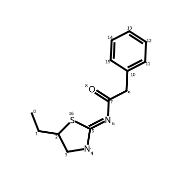 CCC1C[N]C(=NC(=O)Cc2ccccc2)S1